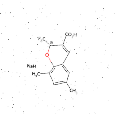 Cc1cc(C)c2c(c1)C=C(C(=O)O)[C@@H](C(F)(F)F)O2.[NaH]